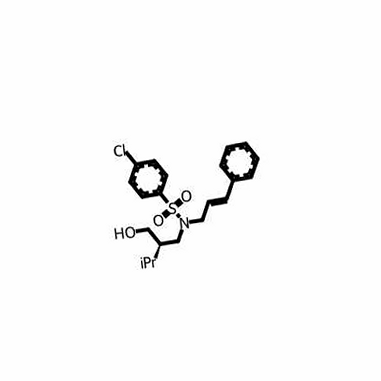 CC(C)[C@@H](CO)CN(CC=Cc1ccccc1)S(=O)(=O)c1ccc(Cl)cc1